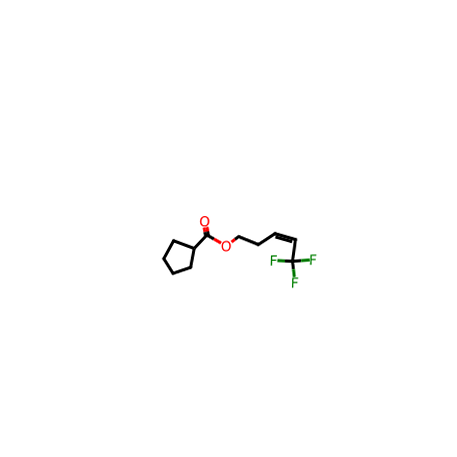 O=C(OCC/C=C\C(F)(F)F)C1CCCC1